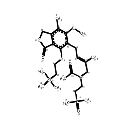 COc1c(C)c2c(c(OCC[Si](C)(C)C)c1C/C=C(\C)CN(CCP(C)(C)=O)C(C)=O)C(=O)OC2